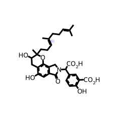 CC(C)=CCC/C(C)=C/CCC1(C)Oc2c(c(O)cc3c2CN(C(C(=O)O)c2ccc(O)c(C(=O)O)c2)C3=O)CC1O